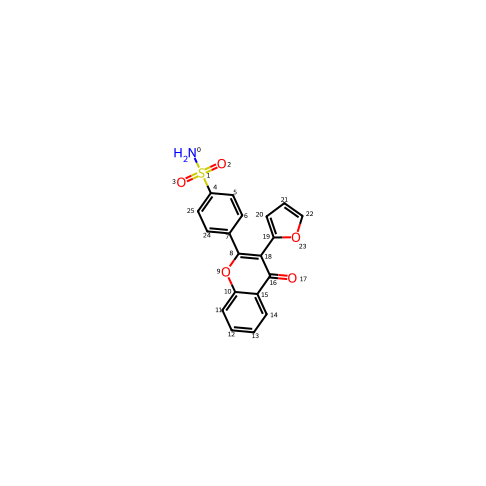 NS(=O)(=O)c1ccc(-c2oc3ccccc3c(=O)c2-c2ccco2)cc1